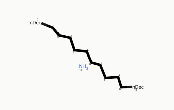 CCCCCCCCCCCCCCCCCCCCCCCCCCCCCC.N